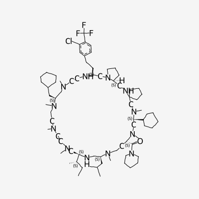 CC[C@H](C)[C@H]1CN(C)CCN(C)CCN(C)[C@@H](CC2CCCCC2)CN(C)CCN[C@@H](CCc2ccc(C(F)(F)F)c(Cl)c2)CN2CCC[C@H]2CNC2(CCCC2)CN(C)[C@@H](C2CCCCC2)CN(C)[C@H](C(=O)N2CCCCC2)CCN(C)[C@@H](CC(C)C)CN1